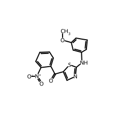 COc1cccc(Nc2ncc(C(=O)c3ccccc3[N+](=O)[O-])s2)c1